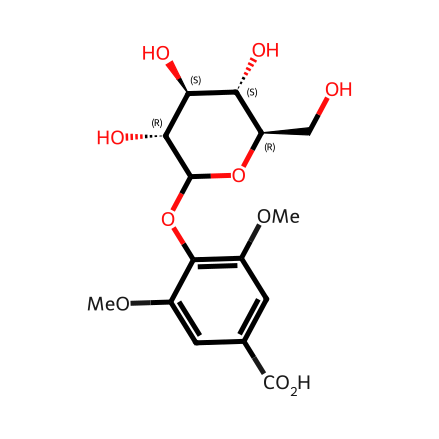 COc1cc(C(=O)O)cc(OC)c1OC1O[C@H](CO)[C@@H](O)[C@H](O)[C@H]1O